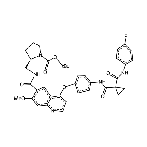 COc1cc2nccc(Oc3ccc(NC(=O)C4(C(=O)Nc5ccc(F)cc5)CC4)cc3)c2cc1C(=O)NC[C@H]1CCCN1C(=O)OC(C)(C)C